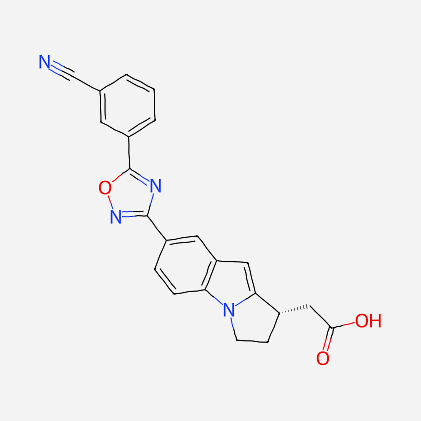 N#Cc1cccc(-c2nc(-c3ccc4c(c3)cc3n4CC[C@H]3CC(=O)O)no2)c1